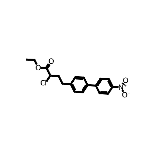 CCOC(=O)C(Cl)CCc1ccc(-c2ccc([N+](=O)[O-])cc2)cc1